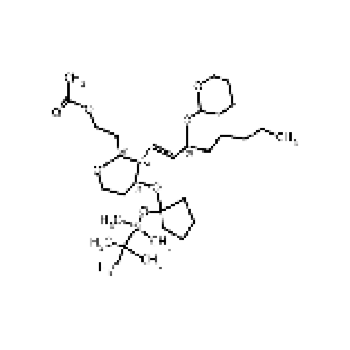 CCCCC[C@@H](C=C[C@H]1[C@H](CCOC(C)=O)OCC[C@@H]1OC1(O[Si](C)(C)C(C)(C)C)CCCC1)OC1CCCCO1